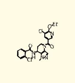 CCOc1ncc(C(=O)N2CCC(NC(=O)c3ccccc3Cl)c3c2cnn3C)cc1Cl